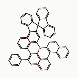 c1ccc(-c2cccc(N(c3ccc4c(c3)C3(c5ccccc5-c5ccccc53)c3ccccc3-4)c3ccc4ccccc4c3-c3ccccc3)c2-c2ccccc2)cc1